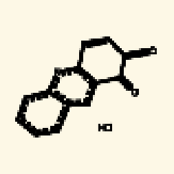 Cl.O=C1C=Cc2nc3ccccc3cc2C1=O